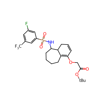 CC(C)(C)OC(=O)COC1=C2CCCCC(NS(=O)(=O)c3cc(F)cc(C(F)(F)F)c3)C2CC=C1